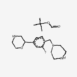 CC(C)(C)OC=O.Fc1cc(C2CNCCO2)ccc1CN1CCNCC1